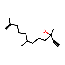 C#CC(C)(O)CCCC(C)CCCC(=C)C